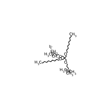 CCCCCCCCCCOCC(COCCCCCCCCCC)(COCCC[N+](C)(C)C)COCCC[N+](C)(C)C.[I-].[I-]